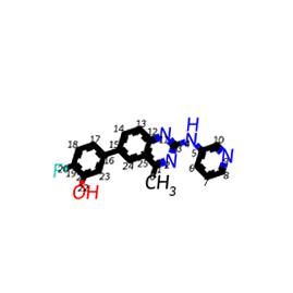 Cc1nc(Nc2cccnc2)nc2ccc(-c3ccc(F)c(O)c3)cc12